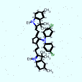 CCN1/C(=C/C=C2\CCC(/C=C/C3=[N+](CC)c4ccc(C)cc4C3(C)C)=C2N(c2ccc(Br)cc2)c2ccc(Br)cc2)C(C)(C)c2cc(C)ccc21